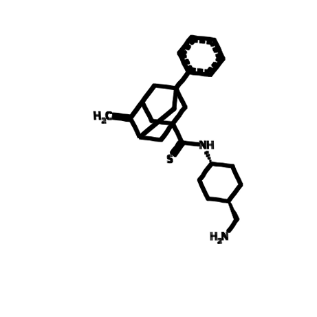 C=C1C2CC3(C(=S)N[C@H]4CC[C@H](CN)CC4)CC1CC(c1ccccc1)(C2)C3